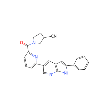 N#CC1CCN(C(=O)c2cccc(-c3cnc4[nH]c(-c5ccccc5)cc4c3)n2)C1